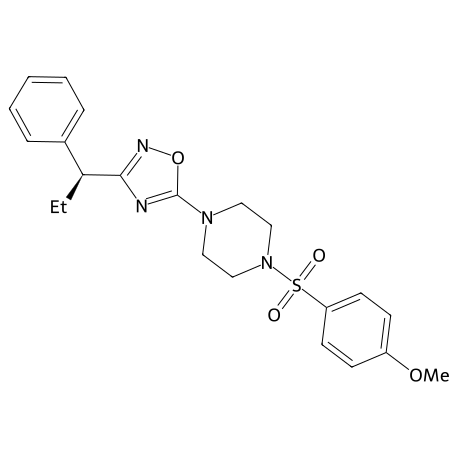 CC[C@@H](c1ccccc1)c1noc(N2CCN(S(=O)(=O)c3ccc(OC)cc3)CC2)n1